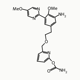 COc1cnc(-c2cc(CCOCc3cccc(OC(N)=O)n3)cc(N)c2OC)nc1